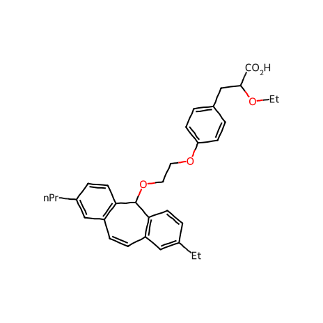 CCCc1ccc2c(c1)C=Cc1cc(CC)ccc1C2OCCOc1ccc(CC(OCC)C(=O)O)cc1